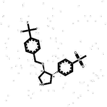 CS(=O)(=O)c1ccc([C@@H]2CNC[C@H]2OCc2ccc(C(F)(F)F)cc2)cc1